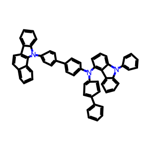 c1ccc(-c2ccc(N(c3ccc(-c4ccc(-n5c6ccccc6c6ccc7ccccc7c65)cc4)cc3)c3cccc4c3c3ccccc3n4-c3ccccc3)cc2)cc1